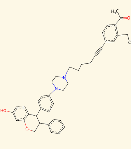 CCc1cc(C#CCCCCN2CCN(c3ccc(C4c5ccc(O)cc5OCC4c4ccccc4)cc3)CC2)ccc1C(C)=O